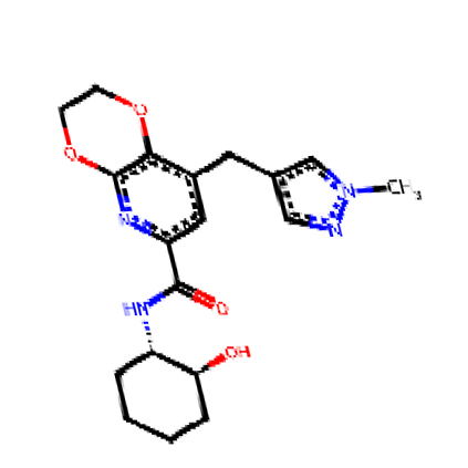 Cn1cc(Cc2cc(C(=O)N[C@H]3CCCC[C@@H]3O)nc3c2OCCO3)cn1